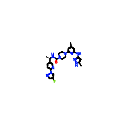 Cc1cc(Nc2cc(C)[nH]n2)nc(N2CCN(C(=O)N[C@@H](C)c3ccc(-n4cc(F)cn4)nc3)CC2)c1